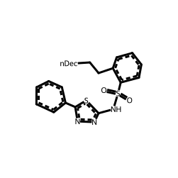 CCCCCCCCCCCCc1ccccc1S(=O)(=O)Nc1nnc(-c2ccccc2)s1